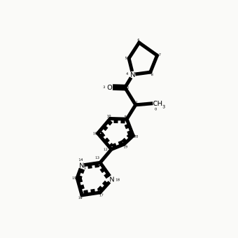 CC(C(=O)N1CCCC1)c1ccc(-c2ncccn2)cc1